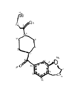 CC(C)(C)OC(=O)N1CCC(C(=O)c2ccc3c(c2)OCO3)CC1